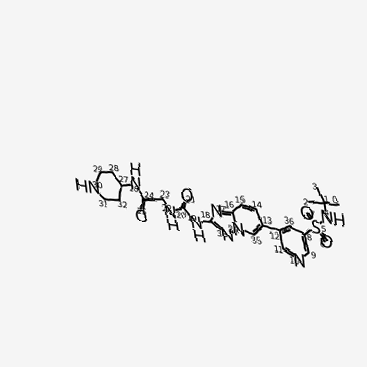 CC(C)(C)NS(=O)(=O)c1cncc(-c2ccc3nc(NC(=O)NCC(=O)NC4CCNCC4)nn3c2)c1